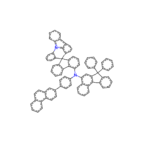 c1ccc(C2(c3ccccc3)c3ccccc3-c3c2cc(N(c2ccc(-c4ccc5c(ccc6ccccc65)c4)cc2)c2cccc4c2-c2ccccc2C42c4ccccc4-n4c5ccccc5c5cccc2c54)c2ccccc32)cc1